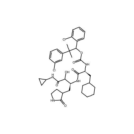 CC(C)(c1cccc(Cl)c1)C(OC(=O)N[C@@H](CC1CCCCC1)C(=O)N[C@@H](CC1CCNC1=O)C(O)C(=O)NC1CC1)c1ccccc1Cl